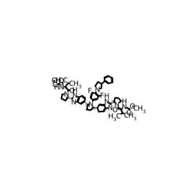 COC(=O)N[C@H](C(=O)N1CCC[C@H]1c1nc2c([nH]1)=CC([C@H]1CC[C@H](c3ccc4[nH]c([C@@H]5CCCN5C(=O)[C@@H](NC(=O)OC)C(C)C)nc4c3)N1c1cc(F)c(N3CCC(c4ccccc4)C3)c(F)c1)CC=2)C(C)C